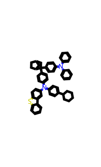 c1ccc(N(c2ccccc2)c2ccc(C3(c4ccc(N(c5ccc(C6CCCCC6)cc5)c5ccc6sc7ccccc7c6c5)cc4)CC4CCC3C4)cc2)cc1